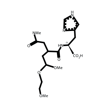 CNC(=O)CC(CC(OC)OCCOC)C(=O)N[C@@H](Cc1c[nH]cn1)C(=O)O